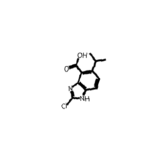 CC(C)c1ccc2[nH]c(Cl)nc2c1C(=O)O